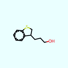 OCCCC1CSc2ccccc21